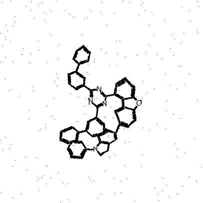 c1ccc(-c2cccc(-c3nc(-c4cccc(-c5ccccc5)c4)nc(-c4cccc5oc6ccc(-c7ccc8c(c7)CCN8c7ccccc7)cc6c45)n3)c2)cc1